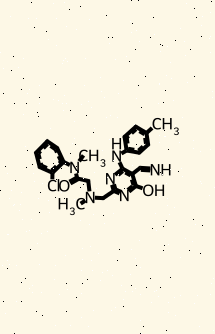 Cc1ccc(Nc2nc(CN(C)CC(=O)N(C)c3ccccc3Cl)nc(O)c2C=N)cc1